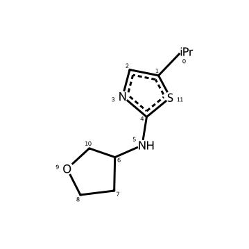 CC(C)c1cnc(NC2CCOC2)s1